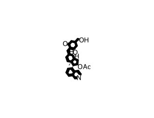 CC(=O)O[C@@H]1C[C@H]2[C@@H]3OC4=C(C=C3C=C[C@]2(C)[C@H]1c1cccc2cnccc12)C(=O)CC(CO)C4